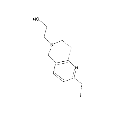 CCc1ccc2c(n1)CCN(CCO)C2